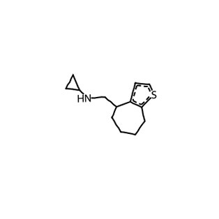 c1cc2c(s1)CCCCC2CNC1CC1